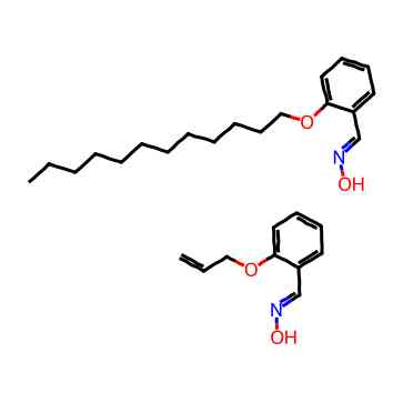 C=CCOc1ccccc1C=NO.CCCCCCCCCCCCOc1ccccc1C=NO